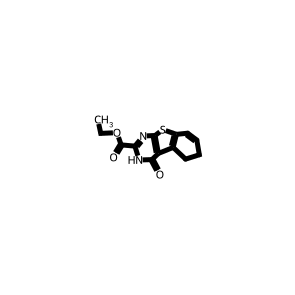 CCOC(=O)c1nc2sc3c(c2c(=O)[nH]1)CCC=C3